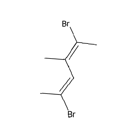 C/C(Br)=C\C(C)=C(/C)Br